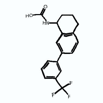 O=C(O)NC1CCCc2ccc(-c3cccc(C(F)(F)F)c3)cc21